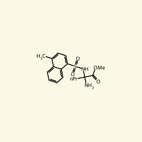 CCCC(N)(NS(=O)(=O)c1ccc(C)c2ccccc12)C(=O)OC